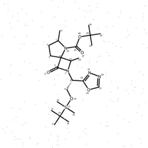 CC1CCC2(C(=O)N([C@@H](CO[Si](C)(C)C(C)(C)C)c3nnco3)C2C)N1C(=O)OC(C)(C)C